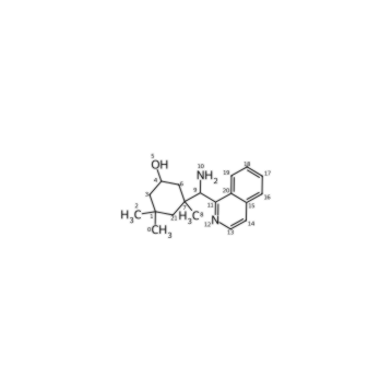 CC1(C)CC(O)CC(C)(C(N)c2nccc3ccccc23)C1